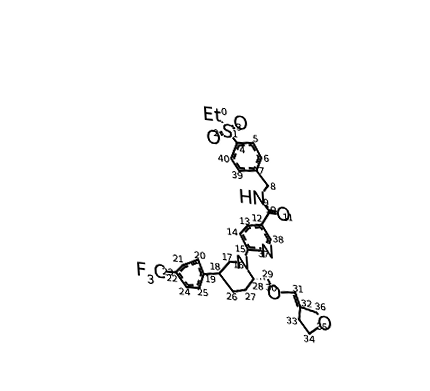 CCS(=O)(=O)c1ccc(CNC(=O)c2ccc(N3CC(c4ccc(C(F)(F)F)cc4)CC[C@H]3CO/C=C3\CCOC3)nc2)cc1